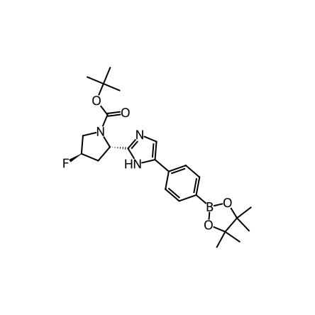 CC(C)(C)OC(=O)N1C[C@H](F)C[C@H]1c1ncc(-c2ccc(B3OC(C)(C)C(C)(C)O3)cc2)[nH]1